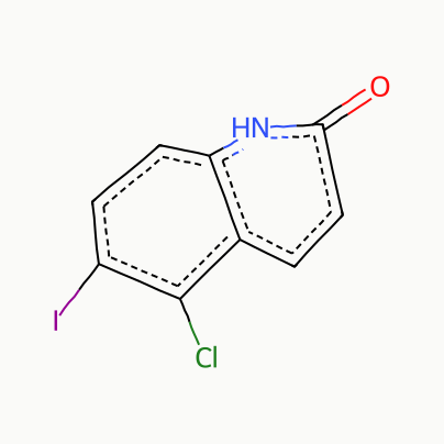 O=c1ccc2c(Cl)c(I)ccc2[nH]1